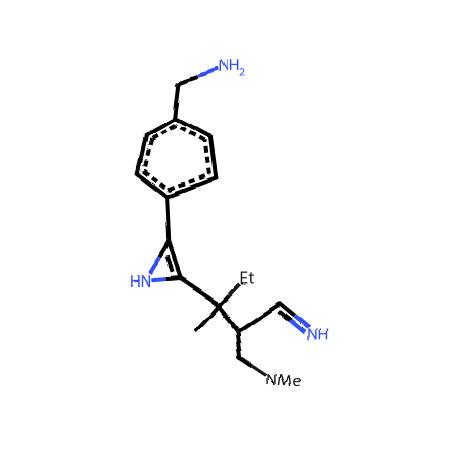 CCC(C)(C1=C(c2ccc(CN)cc2)N1)C(C=N)CNC